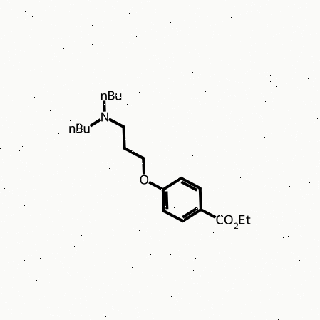 CCCCN(CCCC)CCCOc1ccc(C(=O)OCC)cc1